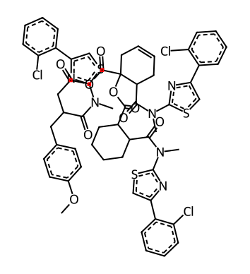 COc1ccc(CC(CC(=O)OC(=O)C2(OC(=O)C3CCCCC3C(=O)N(C)c3nc(-c4ccccc4Cl)cs3)CC=CCC2C(=O)N(C)c2nc(-c3ccccc3Cl)cs2)C(=O)N(C)c2nc(-c3ccccc3Cl)cs2)cc1